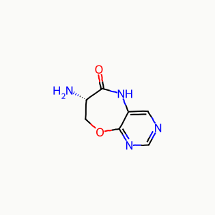 N[C@H]1COc2ncncc2NC1=O